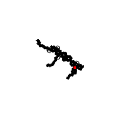 C=C/C=C\CCCOc1cc2c(cc1C)oc1cc(-c3ccc4c(c3)C(C)(C)c3cc(-c5ccc6c(c5)Oc5cc(C)ccc5N6c5ccc(CCCC)cc5)ccc3-4)c(OCCC/C=C\C=C)cc12